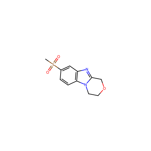 CS(=O)(=O)c1ccc2c(c1)nc1n2CCOC1